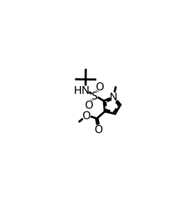 COC(=O)c1ccn(C)c1S(=O)(=O)NC(C)(C)C